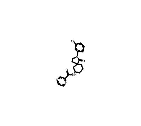 O=C(N[C@H]1CCCC2(CCN(c3cccc(Cl)c3)C2=O)C1)c1cnccn1